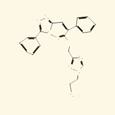 NCCn1cnc(COc2nn3c(-c4ccccc4)nnc3cc2-c2ccccc2)n1